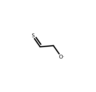 [O]CC=S